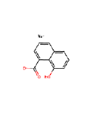 O=C([O-])c1cccc2cccc(O)c12.[Na+]